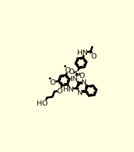 COc1cc(Nc2nc3ccccc3nc2NS(=O)(=O)c2ccc(NC(C)=O)cc2)c(OCCCO)c(OC)c1